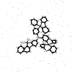 CC1(C)c2cc(N(c3cccc(C4(c5ccccc5)c5ccccc5-c5ccccc54)c3)c3ccc4c(c3)C3(c5ccccc5Sc5ccccc53)c3ccccc3-4)ccc2-c2ccc3ccccc3c21